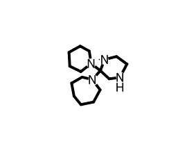 C1CCCN(C2(N3CCCCC3)CNCC[N]2)CC1